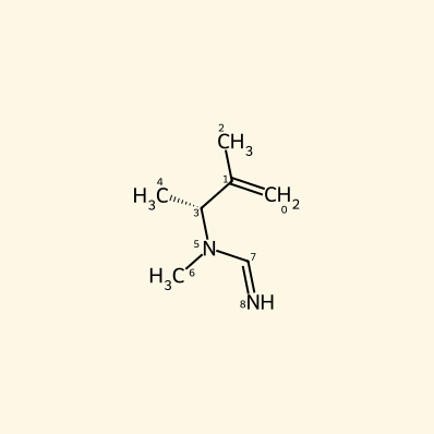 C=C(C)[C@@H](C)N(C)C=N